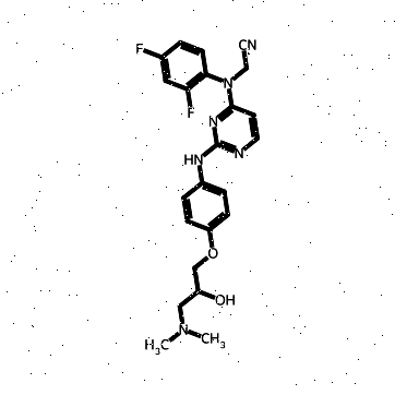 CN(C)CC(O)COc1ccc(Nc2nccc(N(CC#N)c3ccc(F)cc3F)n2)cc1